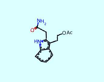 CC(=O)OCCc1c(CC(N)=O)[nH]c2ccccc12